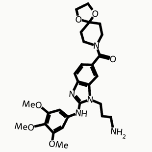 COc1cc(Nc2nc3ccc(C(=O)N4CCC5(CC4)OCCO5)cc3n2CCCN)cc(OC)c1OC